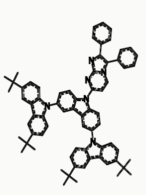 CC(C)(C)c1ccc2c(c1)c1cc(C(C)(C)C)ccc1n2-c1ccc2c(c1)c1cc(-n3c4ccc(C(C)(C)C)cc4c4cc(C(C)(C)C)ccc43)ccc1n2-c1ccn2c(-c3ccccc3)c(-c3ccccc3)nc2n1